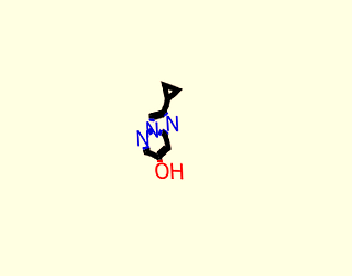 Oc1cnn2cc(C3CC3)nc2c1